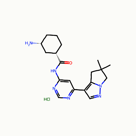 CC1(C)Cc2c(-c3cc(NC(=O)[C@H]4CCC[C@@H](N)C4)ncn3)cnn2C1.Cl